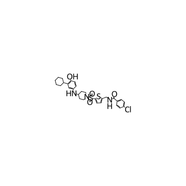 O=C(NCc1ccc(S(=O)(=O)N2CCC(Nc3ccc(O)c(C4CCCCC4)c3)CC2)s1)c1ccc(Cl)cc1